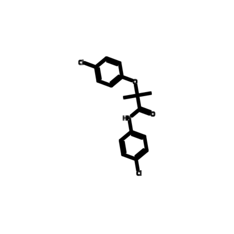 CC(C)(Oc1ccc(Cl)cc1)C(=O)Nc1ccc(Cl)cc1